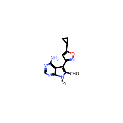 CC(C)n1c(C=O)c(-c2cc(C3CC3)on2)c2c(N)ncnc21